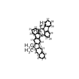 CC1(C)c2cc3ccccc3cc2-c2cc3c(cc21)c1ccccc1n3-c1cccc2c1C(C)(C)c1ccccc1-2